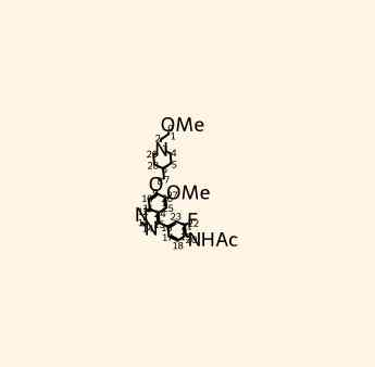 COCCN1CCC(COc2cc3ncnc(-c4ccc(NC(C)=O)c(F)c4)c3cc2OC)CC1